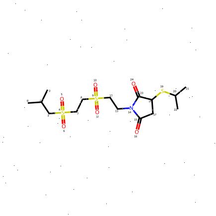 CC(C)CS(=O)(=O)CCS(=O)(=O)CCN1C(=O)CC(SC(C)C)C1=O